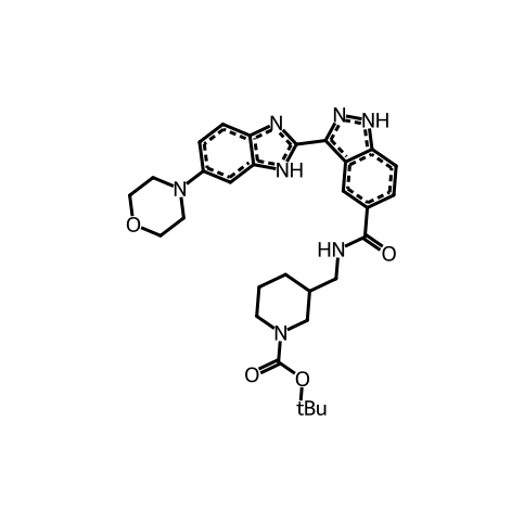 CC(C)(C)OC(=O)N1CCCC(CNC(=O)c2ccc3[nH]nc(-c4nc5ccc(N6CCOCC6)cc5[nH]4)c3c2)C1